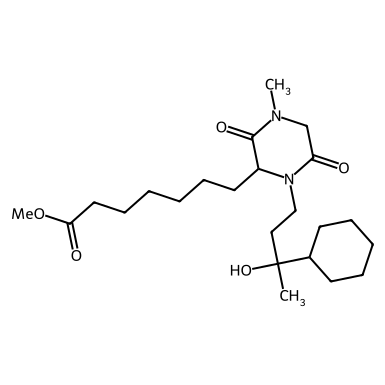 COC(=O)CCCCCCC1C(=O)N(C)CC(=O)N1CCC(C)(O)C1CCCCC1